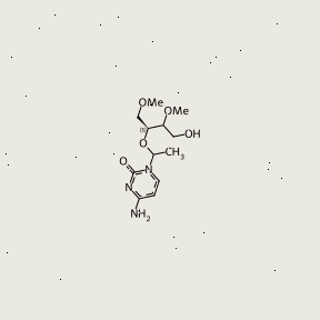 COC[C@H](OC(C)n1ccc(N)nc1=O)C(CO)OC